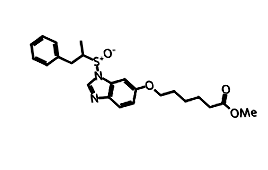 COC(=O)CCCCCOc1ccc2ncn([S+]([O-])C(C)Cc3ccccc3)c2c1